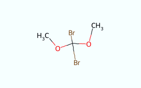 COC(Br)(Br)OC